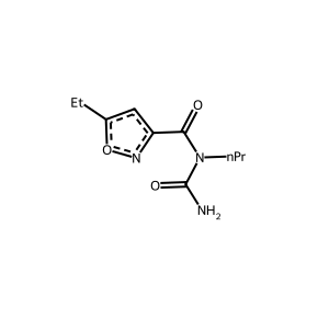 CCCN(C(N)=O)C(=O)c1cc(CC)on1